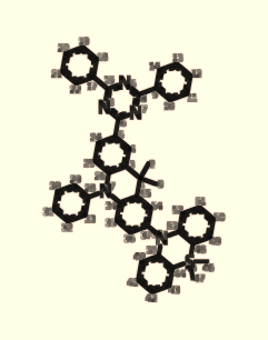 CC1(C)c2cc(-c3nc(-c4ccccc4)nc(-c4ccccc4)n3)ccc2N(c2ccccc2)c2ccc(N3c4ccccc4S(C)(C)c4ccccc43)cc21